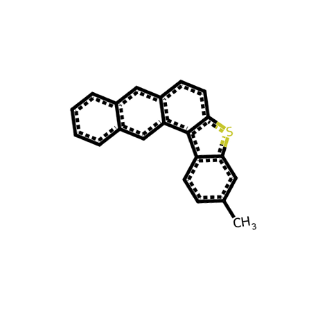 Cc1ccc2c(c1)sc1ccc3cc4ccccc4cc3c12